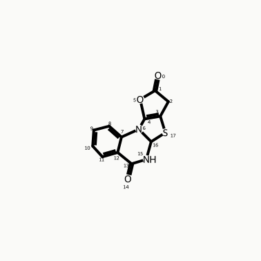 O=C1CC2=C(O1)N1c3ccccc3C(=O)NC1S2